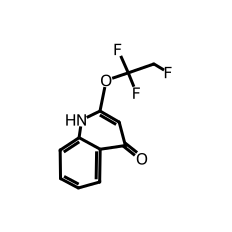 O=c1cc(OC(F)(F)CF)[nH]c2ccccc12